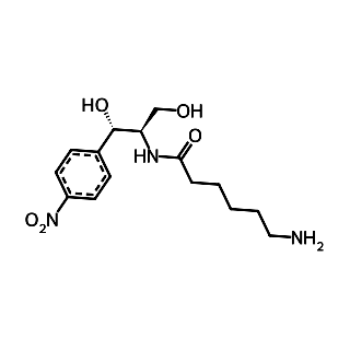 NCCCCCC(=O)N[C@H](CO)[C@@H](O)c1ccc([N+](=O)[O-])cc1